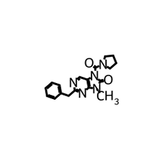 Cn1c(=O)n(C(=O)N2CCCC2)c2cnc(Cc3ccccc3)nc21